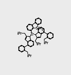 CC(C)CC1=Cc2c(-c3ccccc3CC(C)C)cccc2[CH]1[Zr]([c]1cccc2c1[SiH2]c1ccccc1-2)[CH]1C(CC(C)C)=Cc2c(-c3ccccc3CC(C)C)cccc21